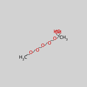 C=CCOCCOCCOCCOCCOCC(C)(CO)CO